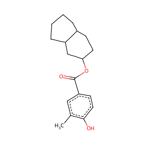 Cc1cc(C(=O)OC2CCC3CCCCC3C2)ccc1O